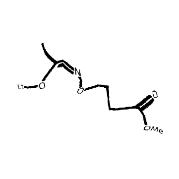 CCO/C(C)=N\OCCC(=O)OC